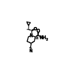 N#CC1CCN(C(=O)[CH]C2CC2)[C@@H](C(N)=O)C1